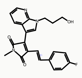 CN1C(=O)C(/C=C/c2ccc(F)cc2)=C(c2cn(CCCO)c3ncccc23)C1=O